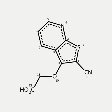 N#Cc1sc2ncccc2c1OCC(=O)O